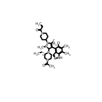 C=CC(=O)N1CCC(N2C(C)=C(c3c(Cl)c(C)c(C)c4[nH]ncc34)C(N3CCN(C(C)=O)C[C@@H]3CC)N2C)CC1